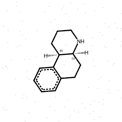 c1ccc2c(c1)CC[C@@H]1NCCC[C@H]21